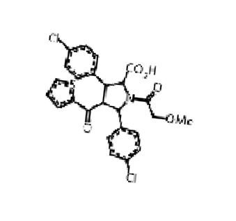 COCC(=O)N1C(C(=O)O)C(c2ccc(Cl)cc2)C(C(=O)c2cccs2)C1c1ccc(Cl)cc1